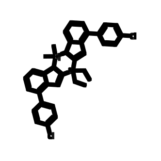 CC[Si]1(CC)C2=Cc3c(-c4ccc(Cl)cc4)cccc3[CH]2[Hf]([CH3])([CH3])[CH]2C1=Cc1c(-c3ccc(Cl)cc3)cccc12